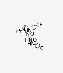 CC(C)N(CCN(CCNC(=O)Nc1ccc(Cl)cc1)C(=O)Nc1ccc(C(F)(F)F)cc1)C(C)C